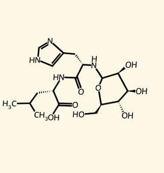 CC(C)C[C@H](NC(=O)[C@H](Cc1c[nH]cn1)NC1O[C@H](CO)[C@@H](O)[C@H](O)[C@@H]1O)C(=O)O